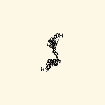 CC1(O)CCC(C(=O)N[C@@H](C(=O)N2CCC[C@H]2c2nc(-c3ccc4cc(C#Cc5cnc([C@@H]6CCCN6C(=O)[C@H](NC(=O)N6CCC(C)(O)CC6)c6ccccc6)[nH]5)ccc4c3)c[nH]2)c2ccccc2)CC1